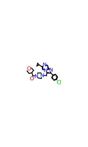 O=C(C1CCOCC1)N1CCN(Cc2c(-c3ccc(Cl)cc3)nc3cnc(C4CC4)cn23)CC1